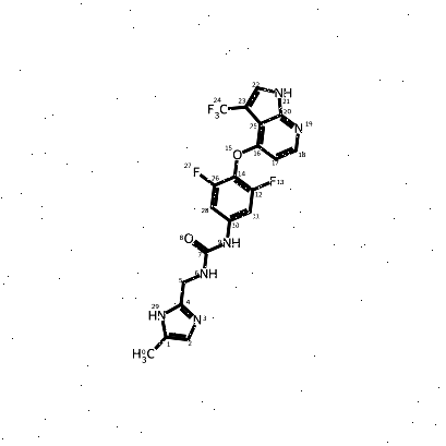 Cc1cnc(CNC(=O)Nc2cc(F)c(Oc3ccnc4[nH]cc(C(F)(F)F)c34)c(F)c2)[nH]1